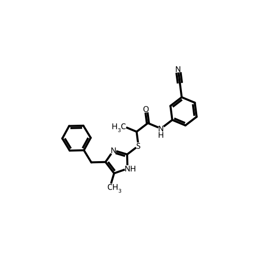 Cc1[nH]c(SC(C)C(=O)Nc2cccc(C#N)c2)nc1Cc1ccccc1